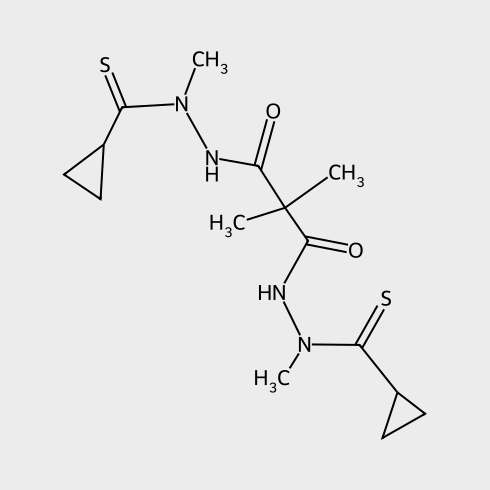 CN(NC(=O)C(C)(C)C(=O)NN(C)C(=S)C1CC1)C(=S)C1CC1